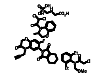 C#CCN1C(=O)COc2cc(F)c(N3C(=O)C4=C(CCCC4)C3=O)cc21.CC1COc2ccccc2N1C(=O)C(Cl)Cl.CCc1cccc(CC)c1N(COC)C(=O)CCl.O=C(O)CNCP(=O)(O)O